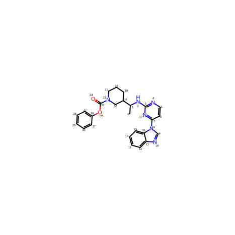 CC(Nc1nccc(-n2cnc3ccccc32)n1)C1CCCN(C(=O)Oc2ccccc2)C1